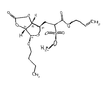 C=CCOC(=O)C(C[C@H]1O[C@@H](OCCCC)[C@@H]2OC(=O)O[C@@H]21)S(=O)(=O)OC